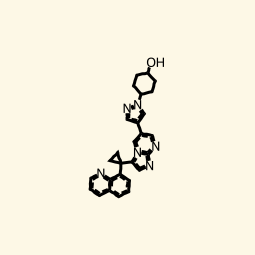 OC1CCC(n2cc(-c3cnc4ncc(C5(c6cccc7cccnc67)CC5)n4c3)cn2)CC1